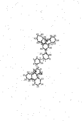 c1cc(-c2cccc(-c3cnc4c5ccccc5c5ccccc5c4n3)c2)cc(-c2cc3c4ccccc4n4c5ccccc5c(c2)c34)c1